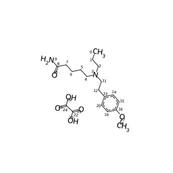 CCCN(CCCCC(N)=O)CCc1ccc(OC)cc1.O=C(O)C(=O)O